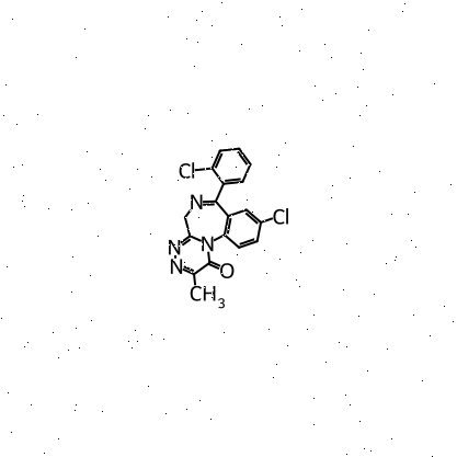 Cc1nnc2n(c1=O)-c1ccc(Cl)cc1C(c1ccccc1Cl)=NC2